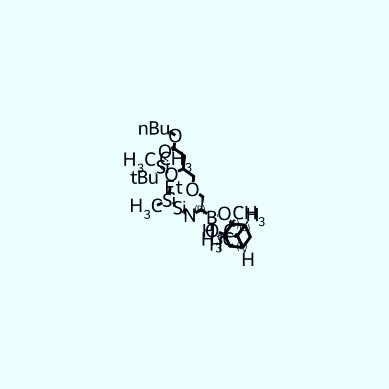 CCCCOC(=O)CC(COC[C@H](N=[Si]=[Si](C)CC)B1O[C@@H]2C[C@@H]3C[C@@H](C3(C)C)[C@]2(C)O1)O[Si](C)(C)C(C)(C)C